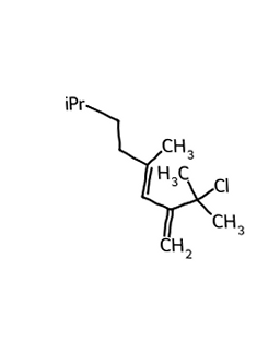 C=C(/C=C(\C)CCC(C)C)C(C)(C)Cl